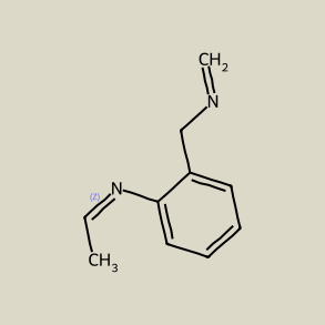 C=NCc1ccccc1/N=C\C